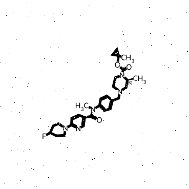 C[C@H]1CN(Cc2ccc(N(C)C(=O)c3ccc(N4CCC(F)CC4)nc3)cc2)CCN1C(=O)OC1(C)CC1